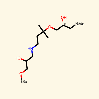 CNC[C@@H](O)COC(C)(C)CCNCC(O)COC(C)(C)C